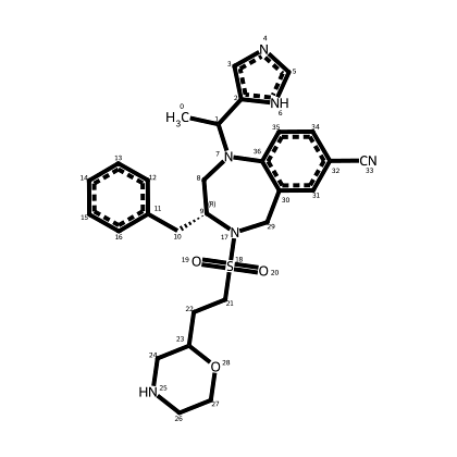 CC(c1cnc[nH]1)N1C[C@@H](Cc2ccccc2)N(S(=O)(=O)CCC2CNCCO2)Cc2cc(C#N)ccc21